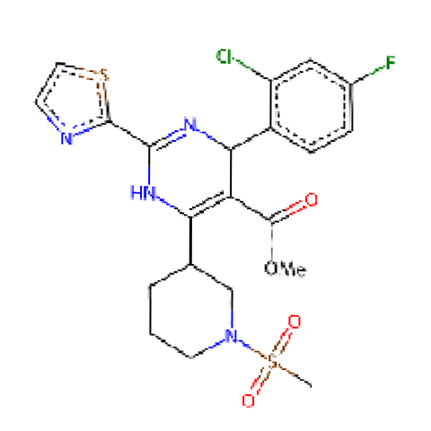 COC(=O)C1=C(C2CCCN(S(C)(=O)=O)C2)NC(c2nccs2)=NC1c1ccc(F)cc1Cl